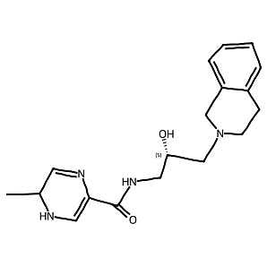 CC1C=NC(C(=O)NC[C@H](O)CN2CCc3ccccc3C2)=CN1